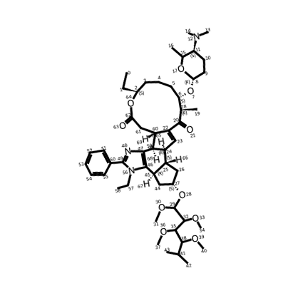 CC[C@H]1CCC[C@H](O[C@H]2CC[C@H](N(C)C)C(C)O2)[C@@H](C)C(=O)C2=C[C@H]3[C@@H]4C[C@H](OC(OC)C(OC)C(OC)C(OC)C(C)C)C[C@H]4c4c(nc(-c5ccccc5)n4CC)[C@H]3[C@@H]2CC(=O)O1